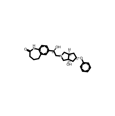 O=C1CCCc2cc([C@@H](O)CN3C[C@H]4C[C@H](Oc5ccccc5)C[C@@]4(O)C3)ccc2N1